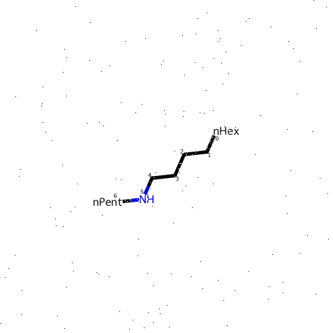 CCCCCCCCCCNCCCCC